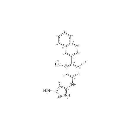 Nc1n[nH]c(Nc2cc(F)c(-c3ccc4ccccc4c3)c(C(F)(F)F)c2)n1